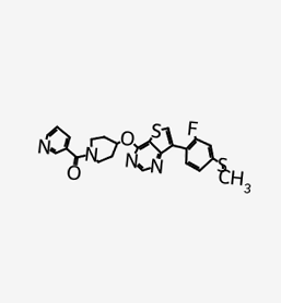 CSc1ccc(-c2csc3c(OC4CCN(C(=O)c5cccnc5)CC4)ncnc23)c(F)c1